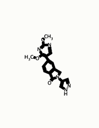 COc1ncc(-c2ccc3c(c2)CN(c2cn[nH]c2)C3=O)c(OC)n1